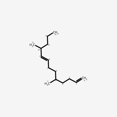 C=CCCC(C)CCC=CC(C)CCC